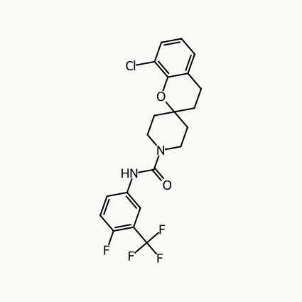 O=C(Nc1ccc(F)c(C(F)(F)F)c1)N1CCC2(CCc3cccc(Cl)c3O2)CC1